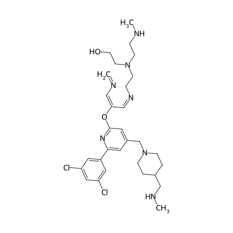 C=N/C=C(\C=N/CCN(CCO)CCNC)Oc1cc(CN2CCC(CNC)CC2)cc(-c2cc(Cl)cc(Cl)c2)n1